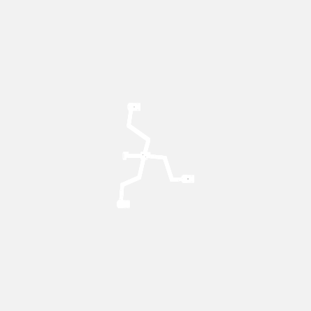 OCC[N+](F)(CCO)CCO